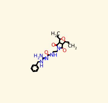 C=CC1OC(C=C)C2C(=O)N(CCNC(=O)/N=C(\N)NCc3ccccc3)C(=O)C12